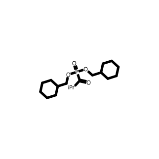 CC(C)C(=O)P(=O)(OCC1CCCCC1)OCC1CCCCC1